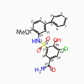 COc1ccc(-c2ccccc2)cc1NS(=O)(=O)c1cc(C(N)=O)cc(Cl)c1O